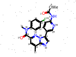 COC(=O)Nc1ccc(-c2cnc3c(C)cc(C(=O)N(C)c4ccc(F)cc4)nn23)cn1